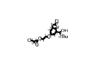 CC(C)(C)C(O)c1cc(OCCOC2OC2Cl)cc2sc(Cl)nc12